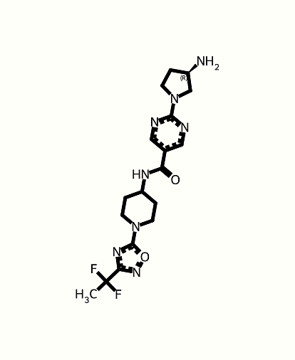 CC(F)(F)c1noc(N2CCC(NC(=O)c3cnc(N4CC[C@@H](N)C4)nc3)CC2)n1